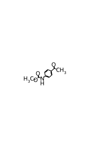 COC(=O)Nc1ccc(C(C)=O)cc1